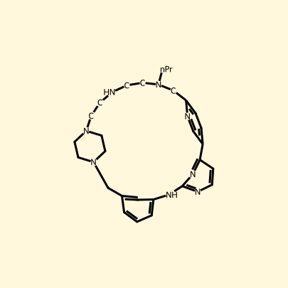 CCCN1CCNCCN2CCN(CC2)Cc2cccc(c2)Nc2nccc(n2)-c2ccc(nc2)C1